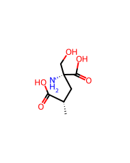 C[C@@H](C[C@@](N)(CO)C(=O)O)C(=O)O